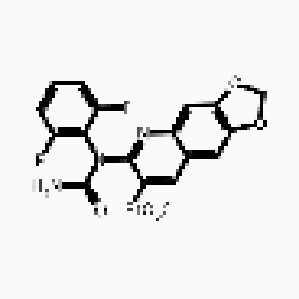 CCOC(=O)c1cc2cc3c(cc2nc1N(C(N)=O)c1c(F)cccc1F)OCO3